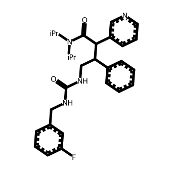 CC(C)N(C(=O)C(c1cccnc1)C(CNC(=O)NCc1cccc(F)c1)c1ccccc1)C(C)C